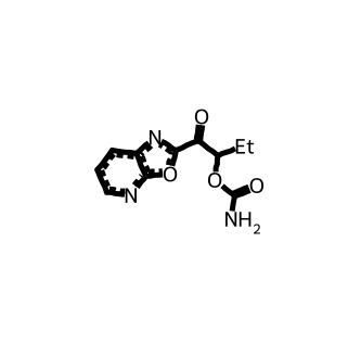 CCC(OC(N)=O)C(=O)c1nc2cccnc2o1